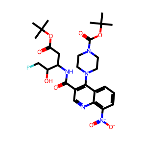 CC(C)(C)OC(=O)CC(NC(=O)c1cnc2c([N+](=O)[O-])cccc2c1N1CCN(C(=O)OC(C)(C)C)CC1)C(O)CF